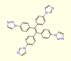 c1cn(-c2ccc(C(=C(c3ccc(-n4ccnc4)cc3)c3ccc(-n4ccnc4)cc3)c3ccc(-n4ccnc4)cc3)cc2)cn1